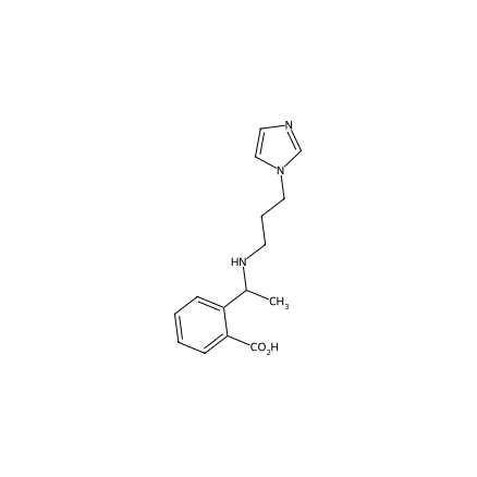 CC(NCCCn1ccnc1)c1ccccc1C(=O)O